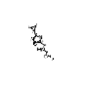 CCNCc1nc(C2CC2)no1